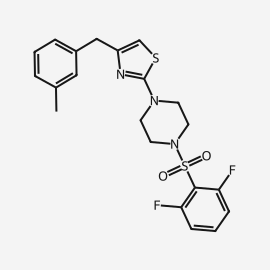 Cc1cccc(Cc2csc(N3CCN(S(=O)(=O)c4c(F)cccc4F)CC3)n2)c1